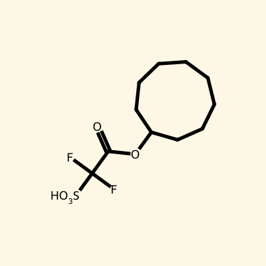 O=C(OC1CCCCCCCC1)C(F)(F)S(=O)(=O)O